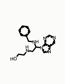 OCCNCC(NCc1ccccc1)n1cnc2cncnc21